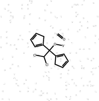 Cl[C](Cl)C([O][V])(C1=CC=CC1)C1=CC=CC1.[C]=O